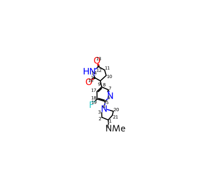 CNC1CCN(c2ncc(C3CCC(=O)NC3=O)cc2F)CC1